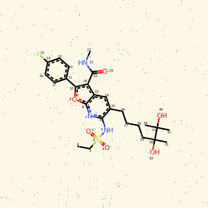 CCS(=O)(=O)Nc1nc2oc(-c3ccc(F)cc3)c(C(=O)NC)c2cc1CCCCC(C)(O)C(C)(C)O